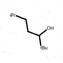 C[C](C)CCC(O)C(C)(C)C